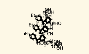 CC(C)N1CCC(c2csc3c([N+](=O)[O-])cccc23)CC1.CCN1CCC(c2csc3c(C#N)cccc23)CC1.CCN1CCC(c2csc3c(NC=O)cccc23)CC1.O=C(O)/C=C\C(=O)O.O=C(O)C(=O)O.O=P(O)(O)O